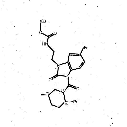 CC(C)c1ccc2c(c1)n(CCNC(=O)OC(C)(C)C)c(=O)n2C(=O)[C@@H]1C[C@H](C)CC[C@H]1C(C)C